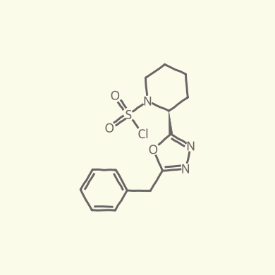 O=S(=O)(Cl)N1CCCC[C@H]1c1nnc(Cc2ccccc2)o1